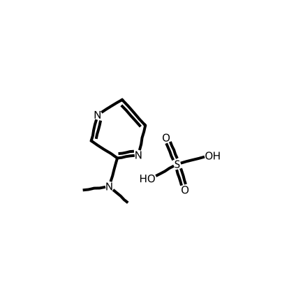 CN(C)c1cnccn1.O=S(=O)(O)O